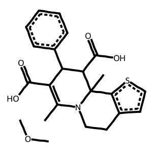 CC1=C(C(=O)O)C(c2ccccc2)C(C(=O)O)C2(C)c3sccc3CCN12.COC